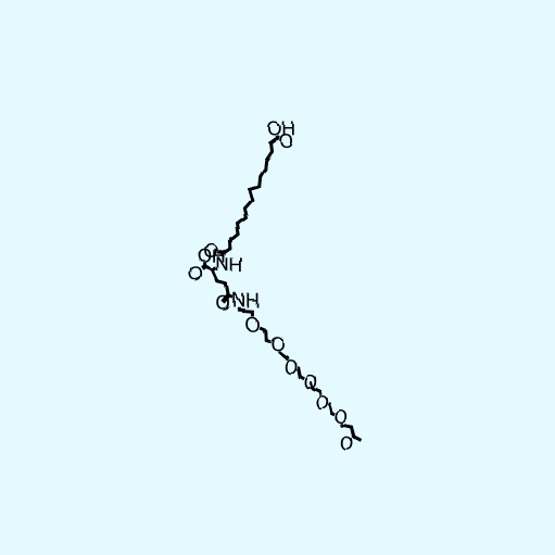 CC(=O)CCOCCOCCOCCOCCOCCOCCNC(=O)CCC(NC(=O)CCCCCCCCCCCCCCC(=O)O)C(=O)O